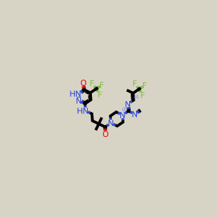 C=N/C(=N\C=C(/C)C(F)(F)F)N1CCN(C(=O)C(C)(C)CCNc2cc(C(F)(F)F)c(=O)[nH]n2)CC1